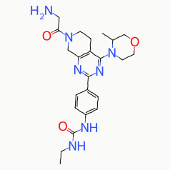 CCNC(=O)Nc1ccc(-c2nc3c(c(N4CCOCC4C)n2)CCN(C(=O)CN)C3)cc1